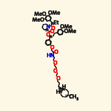 CC[C@H](C(=O)N1CCCC[C@H]1C(=O)O[C@H](CCc1ccc(OC)c(OC)c1)c1cccc(OCC(=O)NCCOCCOCCOCCC[C@@H]2[C@@H]3CC/C=C(/C)CC[C@@H]32)c1)c1cc(OC)c(OC)c(OC)c1